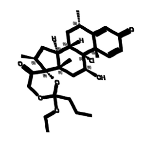 CCCC1(OCC)OCC(=O)[C@@]2(O1)[C@@H](C)C[C@H]1[C@@H]3C[C@H](C)C4=CC(=O)C=C[C@]4(C)[C@@]3(Cl)[C@@H](O)C[C@@]12C